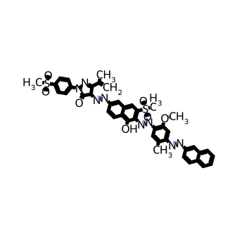 C=C(C)C1=NN(c2ccc(S(C)(=O)=O)cc2)C(=O)C1/N=N/c1ccc2c(O)c(/N=N/c3cc(C)c(/N=N/c4ccc5ccccc5c4)cc3OC)c(S(C)(=O)=O)cc2c1